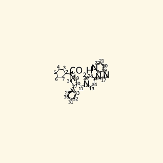 O=C(O)[C@@H](C1CCCCC1)N1C[C@H](CN2CCC(n3cnc4cccnc43)CC2)[C@@H](c2ccccc2)C1